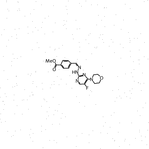 COC(=O)c1ccc(/C=N\Nc2ncc(F)c(N3CCOCC3)n2)cc1